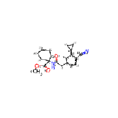 COC(=O)C1(NC(=O)Cc2ccc(C#N)c(C3CC3)c2)CCCCC1